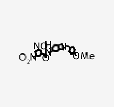 COc1ccc(CN2Cc3ccc(CNC(=O)c4cc([N+](=O)[O-])cc([N+](=O)[O-])c4)cc3C2)cc1